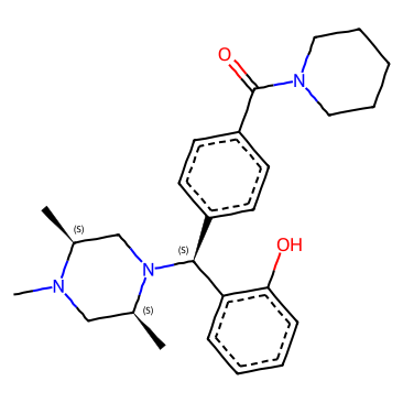 C[C@H]1CN([C@@H](c2ccc(C(=O)N3CCCCC3)cc2)c2ccccc2O)[C@@H](C)CN1C